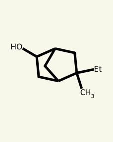 CCC1(C)CC2CC1CC2O